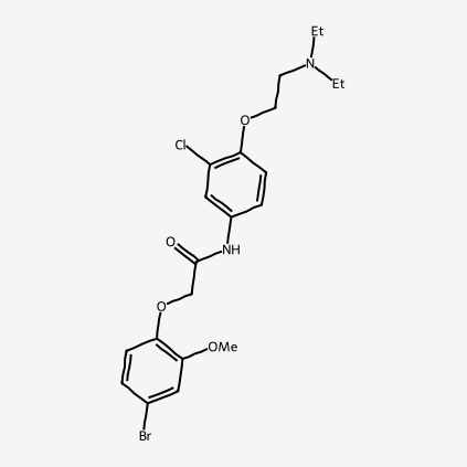 CCN(CC)CCOc1ccc(NC(=O)COc2ccc(Br)cc2OC)cc1Cl